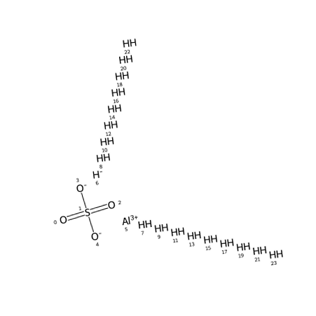 O=S(=O)([O-])[O-].[Al+3].[H-].[HH].[HH].[HH].[HH].[HH].[HH].[HH].[HH].[HH].[HH].[HH].[HH].[HH].[HH].[HH].[HH].[HH]